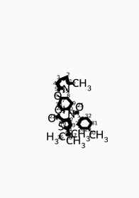 Cc1cccc(O[C@H]2CC[C@H](N(c3cc(C(C)(C)C)sc3C(=O)O)C(=O)[C@H]3CC[C@H](C)CC3)CC2)n1